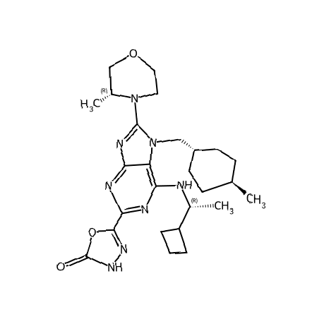 C[C@@H]1COCCN1c1nc2nc(-c3n[nH]c(=O)o3)nc(N[C@H](C)C3CCC3)c2n1C[C@H]1CC[C@H](C)CC1